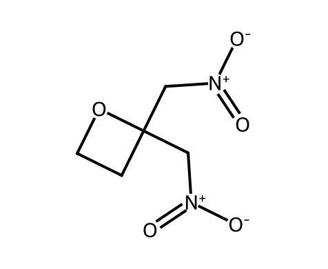 O=[N+]([O-])CC1(C[N+](=O)[O-])CCO1